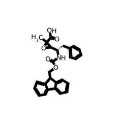 CC1(C(=O)O)OC1[C@H](Cc1ccccc1)NC(=O)OCC1c2ccccc2-c2ccccc21